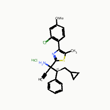 C#CC(N)(c1nc(-c2ccc(OC)cc2Cl)c(C)s1)[C@@H](CC1CC1)c1ccccc1.Cl